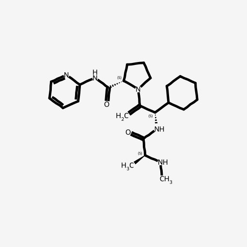 C=C([C@@H](NC(=O)[C@H](C)NC)C1CCCCC1)N1CCC[C@H]1C(=O)Nc1ccccn1